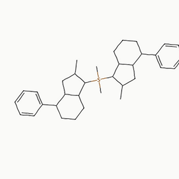 CC1CC2C(c3ccccc3)CCCC2C1S(C)(C)C1C(C)CC2C(c3ccccc3)CCCC21